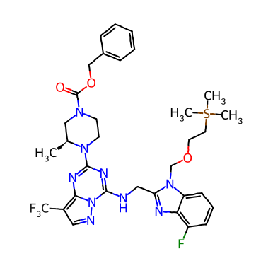 C[C@H]1CN(C(=O)OCc2ccccc2)CCN1c1nc(NCc2nc3c(F)cccc3n2COCCS(C)(C)C)n2ncc(C(F)(F)F)c2n1